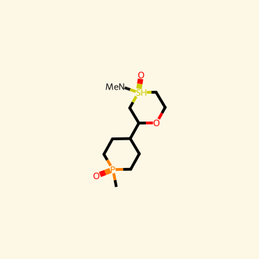 CN[SH]1(=O)CCOC(C2CCP(C)(=O)CC2)C1